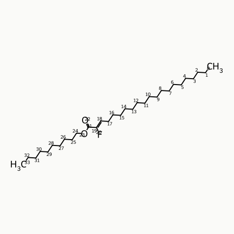 CCCCCCCCCCCCCCCCCCC=C(F)C(=O)OCCCCCCCCCC